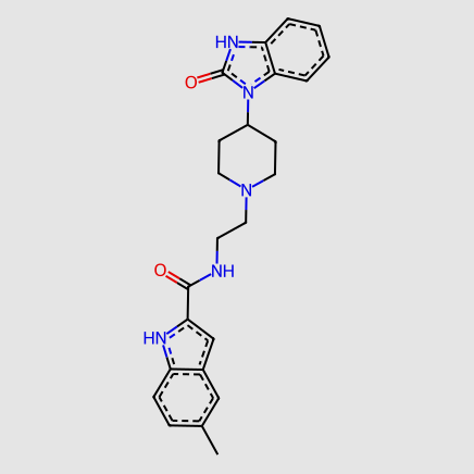 Cc1ccc2[nH]c(C(=O)NCCN3CCC(n4c(=O)[nH]c5ccccc54)CC3)cc2c1